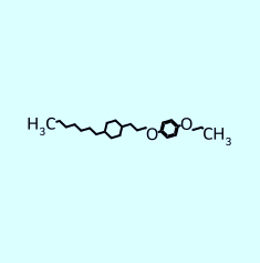 CCCCCCCC1CCC(CCCOc2ccc(OCCC)cc2)CC1